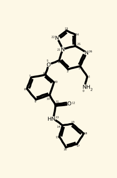 NCc1cc(Oc2cccc(C(=O)Nc3ccccc3)c2)n2nccc2n1